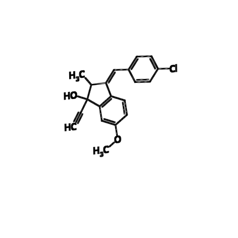 C#CC1(O)c2cc(OC)ccc2C(=Cc2ccc(Cl)cc2)C1C